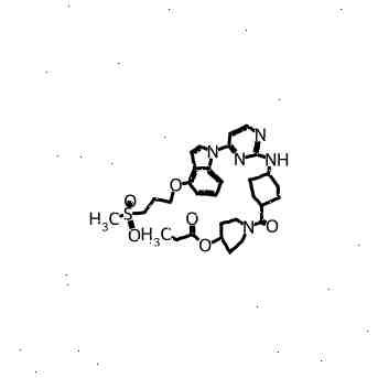 CCC(=O)OC1CCN(C(=O)C2CCC(Nc3nccc(-n4ccc5c(OCCCS(C)(=O)=O)cccc54)n3)CC2)CC1